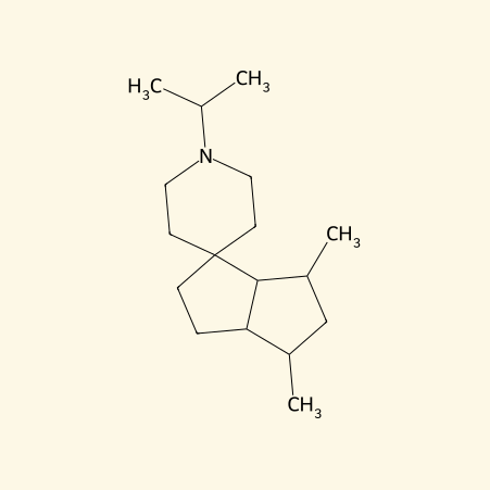 CC1CC(C)C2C1CCC21CCN(C(C)C)CC1